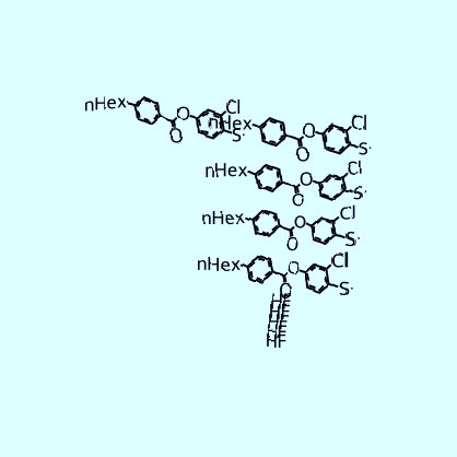 CCCCCCc1ccc(C(=O)Oc2ccc([S])c(Cl)c2)cc1.CCCCCCc1ccc(C(=O)Oc2ccc([S])c(Cl)c2)cc1.CCCCCCc1ccc(C(=O)Oc2ccc([S])c(Cl)c2)cc1.CCCCCCc1ccc(C(=O)Oc2ccc([S])c(Cl)c2)cc1.CCCCCCc1ccc(C(=O)Oc2ccc([S])c(Cl)c2)cc1.F.F.F.F.F